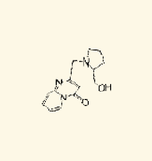 O=c1cc(CN2CCCC2CO)nc2ccccn12